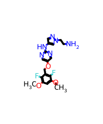 COc1cc(OC)c(F)c(COc2cnc(Nc3cnn(CCN)c3)nc2)c1F